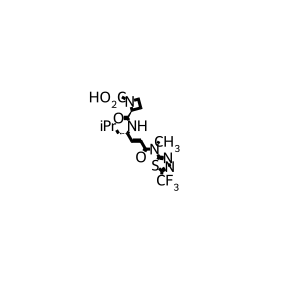 CC(C)C[C@@H](/C=C/C(=O)N(C)c1nnc(C(F)(F)F)s1)NC(=O)[C@@H]1CCN1C(=O)O